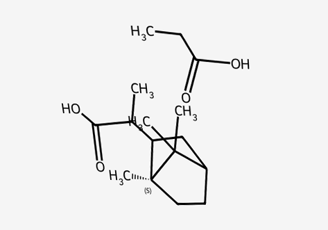 CC(C(=O)O)C1CC2CC[C@]1(C)C2(C)C.CCC(=O)O